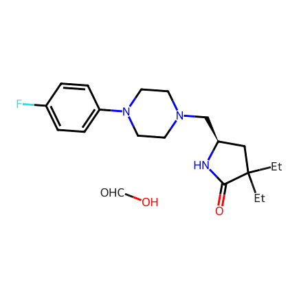 CCC1(CC)C[C@H](CN2CCN(c3ccc(F)cc3)CC2)NC1=O.O=CO